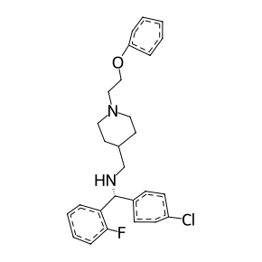 Fc1ccccc1[C@H](NCC1CCN(CCOc2ccccc2)CC1)c1ccc(Cl)cc1